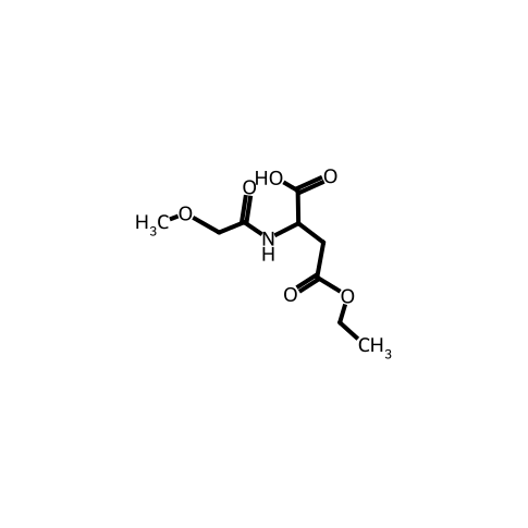 CCOC(=O)CC(NC(=O)COC)C(=O)O